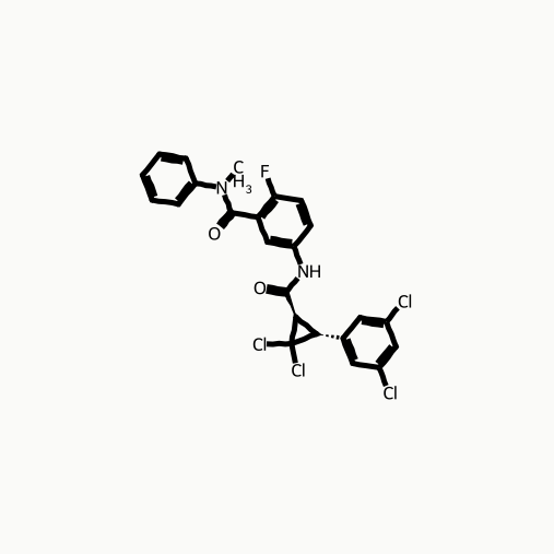 CN(C(=O)c1cc(NC(=O)[C@H]2[C@H](c3cc(Cl)cc(Cl)c3)C2(Cl)Cl)ccc1F)c1ccccc1